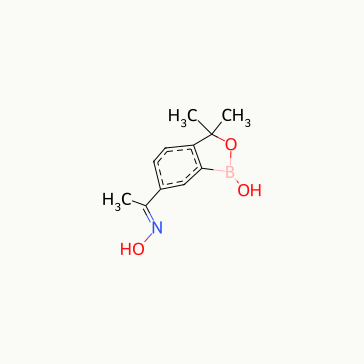 CC(=NO)c1ccc2c(c1)B(O)OC2(C)C